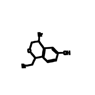 Oc1ccc2c(c1)C(Br)COC2CBr